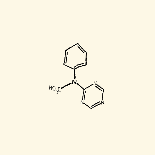 O=C(O)N(c1ccccc1)c1ncncn1